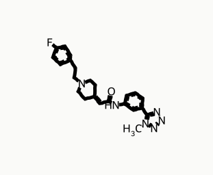 Cn1nnnc1-c1cccc(NC(=O)C=C2CCN(CCc3ccc(F)cc3)CC2)c1